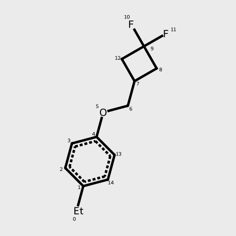 CCc1ccc(OCC2CC(F)(F)C2)cc1